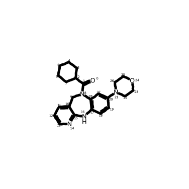 O=C(C1CCCCC1)N1Cc2cccnc2Nc2ccc(N3CCOCC3)cc21